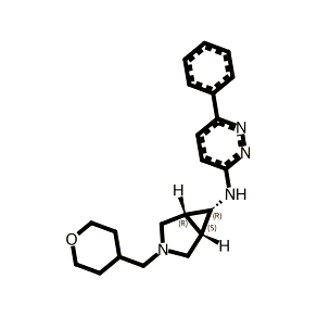 c1ccc(-c2ccc(N[C@@H]3[C@@H]4CN(CC5CCOCC5)C[C@@H]43)nn2)cc1